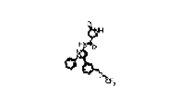 O=C1C[C@H](C(=O)Nc2cc(-c3cccc(COCC(F)(F)F)c3)n(-c3ccccc3)n2)CN1